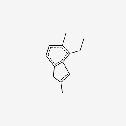 CCc1c(C)ccc2c1C=C(C)C2